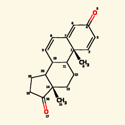 C[C@]12C=CC(=O)C=C1C=CC1C2CC[C@]2(C)C(=O)CCC12